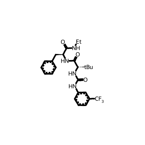 CCNC(=O)[C@H](Cc1ccccc1)NC(=O)[C@@H](NC(=O)Nc1cccc(C(F)(F)F)c1)C(C)(C)C